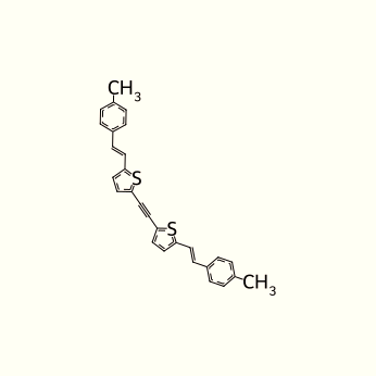 Cc1ccc(/C=C/c2ccc(C#Cc3ccc(/C=C/c4ccc(C)cc4)s3)s2)cc1